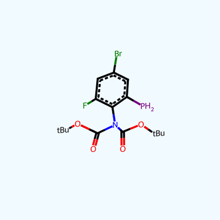 CC(C)(C)OC(=O)N(C(=O)OC(C)(C)C)c1c(F)cc(Br)cc1P